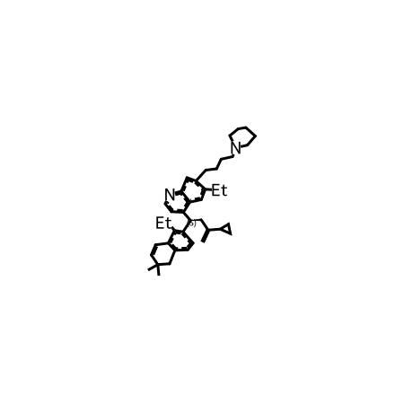 C=C(C[C@@H](c1ccc2c(c1CC)C=CC(C)(C)C2)c1ccnc2cc(CCCCN3CCCCC3)c(CC)cc12)C1CC1